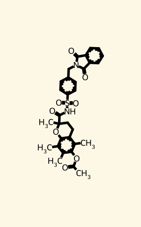 CC(=O)Oc1c(C)c(C)c2c(c1C)CCC(C)(C(=O)NS(=O)(=O)c1ccc(CN3C(=O)c4ccccc4C3=O)cc1)O2